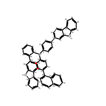 c1ccc(N(c2ccc(-c3ccc4c(c3)oc3ccccc34)cc2)c2ccc(-c3cccc4ccccc34)cc2)c(-c2ccc3c(c2)oc2ccccc23)c1